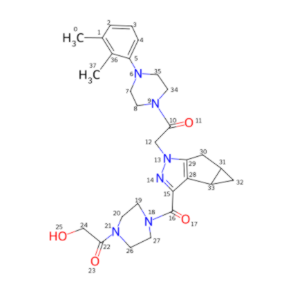 Cc1cccc(N2CCN(C(=O)Cn3nc(C(=O)N4CCN(C(=O)CO)CC4)c4c3CC3CC43)CC2)c1C